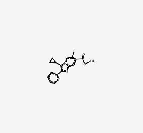 COC(=O)c1cc2nc(-c3ccccn3)c(C3CC3)n2cc1F